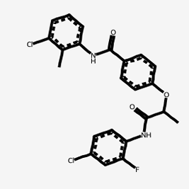 Cc1c(Cl)cccc1NC(=O)c1ccc(OC(C)C(=O)Nc2ccc(Cl)cc2F)cc1